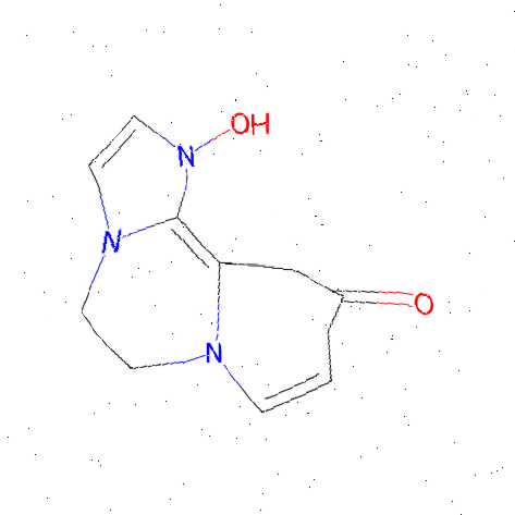 O=C1C=CN2CCN3C=CN(O)C3=C2C1